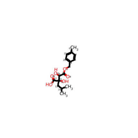 Cc1ccc(COC(=O)C(O)C(O)(CC(C)C)C(=O)O)cc1